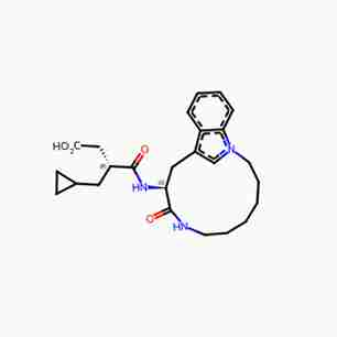 O=C(O)C[C@@H](CC1CC1)C(=O)N[C@H]1Cc2cn(c3ccccc23)CCCCCCNC1=O